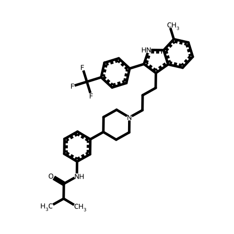 Cc1cccc2c(CCCN3CCC(c4cccc(NC(=O)C(C)C)c4)CC3)c(-c3ccc(C(F)(F)F)cc3)[nH]c12